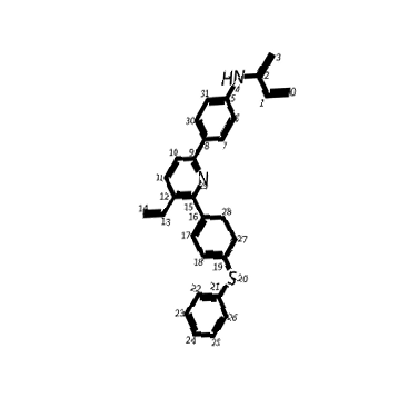 C=CC(=C)Nc1ccc(-c2ccc(C=C)c(C3=CC=C(Sc4ccccc4)CC3)n2)cc1